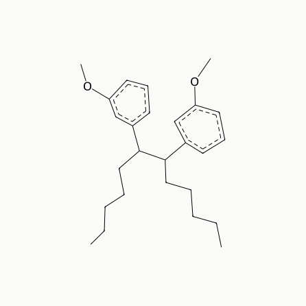 CCCCCC(c1cccc(OC)c1)C(CCCCC)c1cccc(OC)c1